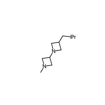 CC(C)CC1CN(C2CN(C)C2)C1